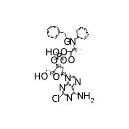 C[C@H](C(=O)OP(=O)(O)O[C@H]1C[C@H](n2cnc3c(N)nc(Cl)nc32)O[C@@H]1CO)N(OCc1ccccc1)c1ccccc1